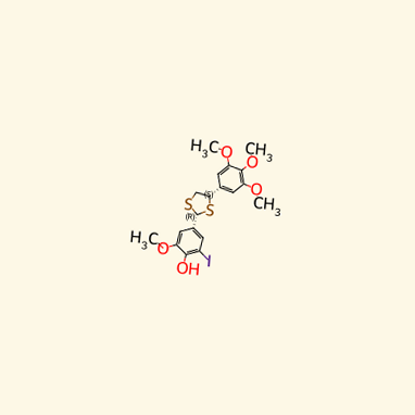 COc1cc([C@@H]2SC[C@H](c3cc(OC)c(OC)c(OC)c3)S2)cc(I)c1O